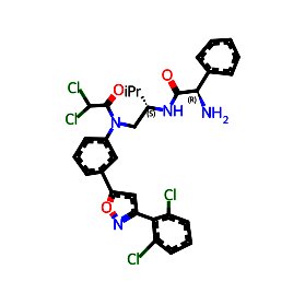 CC(C)[C@@H](CN(C(=O)C(Cl)Cl)c1cccc(-c2cc(-c3c(Cl)cccc3Cl)no2)c1)NC(=O)[C@H](N)c1ccccc1